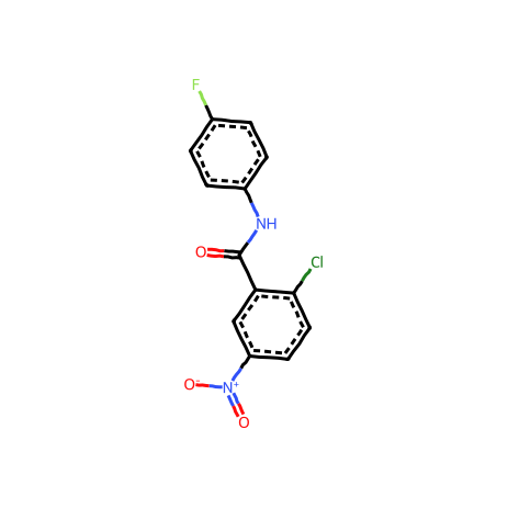 O=C(Nc1ccc(F)cc1)c1cc([N+](=O)[O-])ccc1Cl